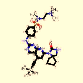 CC(C)[Si](C#Cc1cc(N2C(=O)NCC23CCCC3)nc2nc(Nc3ccc(S(=O)(=O)N(C)CCN(C)C)cc3)ncc12)(C(C)C)C(C)C